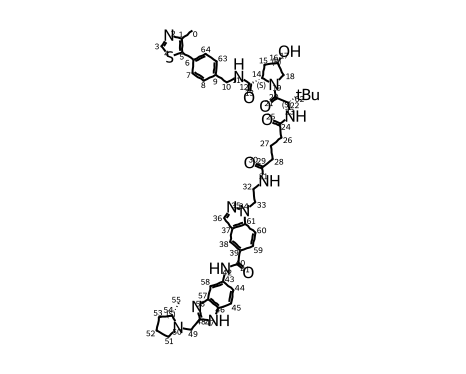 Cc1ncsc1-c1ccc(CNC(=O)[C@@H]2C[C@@H](O)CN2C(=O)[C@@H](NC(=O)CCCC(=O)NCCn2ncc3cc(C(=O)Nc4ccc5[nH]c(CN6CCC[C@@H]6C)nc5c4)ccc32)C(C)(C)C)cc1